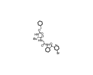 CC[C@H](C)[C@H](NC(=O)OCc1ccccc1)C(=O)NCC(=O)Nc1ccccc1C(=O)c1cc(Br)ccn1